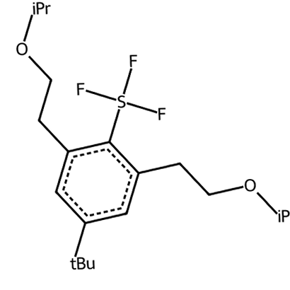 CC(C)OCCc1cc(C(C)(C)C)cc(CCOC(C)C)c1S(F)(F)F